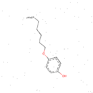 CCCCCCCCCCCCOc1ccc(O)cc1